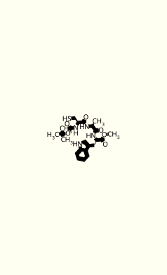 COC(=O)[C@H](Cc1c[nH]c2ccccc12)NC(=O)[C@H](C)NC(=O)[C@H](CS)NC(=O)OC(C)(C)C